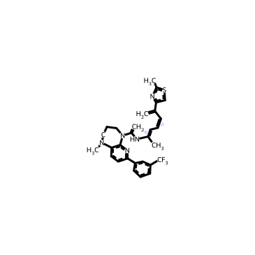 C=C(/C=C\C=C(/C)NC(=C)N1CCCN(C)c2ccc(-c3cccc(C(F)(F)F)c3)nc21)c1csc(C)n1